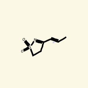 C/C=C/C1=NS(=O)(=O)CC1